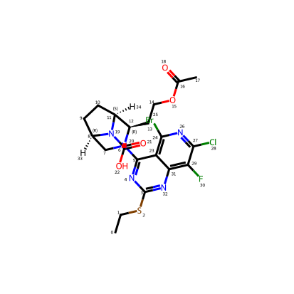 CCSc1nc(N2C[C@H]3CC[C@@H]([C@H]2CCOC(C)=O)N3C(=O)O)c2c(Br)nc(Cl)c(F)c2n1